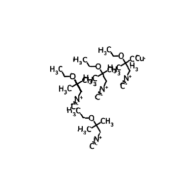 [C-]#[N+]CC(C)(C)OCC.[C-]#[N+]CC(C)(C)OCC.[C-]#[N+]CC(C)(C)OCC.[C-]#[N+]CC(C)(C)OCC.[Cu]